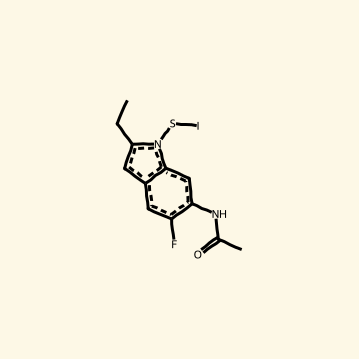 CCc1cc2cc(F)c(NC(C)=O)cc2n1SI